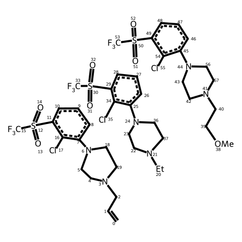 C=CCN1CCN(c2cccc(S(=O)(=O)C(F)(F)F)c2Cl)CC1.CCN1CCN(c2cccc(S(=O)(=O)C(F)(F)F)c2Cl)CC1.COCCN1CCN(c2cccc(S(=O)(=O)C(F)(F)F)c2Cl)CC1